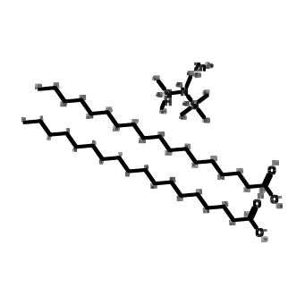 CCCCCCCCCCCCCCCCCC(=O)[O-].CCCCCCCCCCCCCCCCCC(=O)[O-].CN([SiH](C)C)[Si](C)(C)C.[Zn+2]